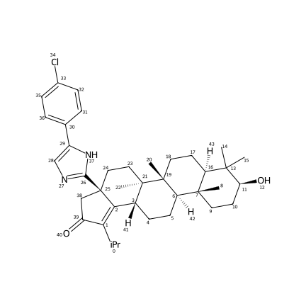 CC(C)C1=C2[C@H]3CC[C@@H]4[C@@]5(C)CC[C@H](O)C(C)(C)[C@@H]5CC[C@@]4(C)[C@]3(C)CC[C@@]2(c2ncc(-c3ccc(Cl)cc3)[nH]2)CC1=O